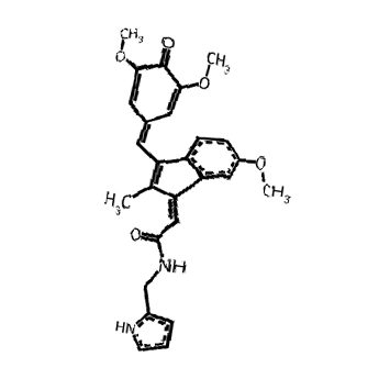 COC1=CC(=CC2=C(C)C(=CC(=O)NCc3ccc[nH]3)c3cc(OC)ccc32)C=C(OC)C1=O